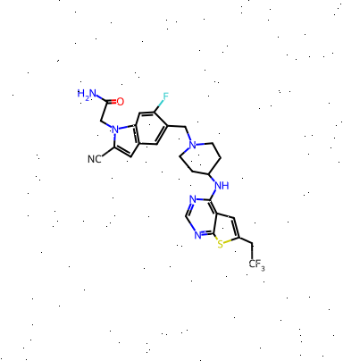 N#Cc1cc2cc(CN3CCC(Nc4ncnc5sc(CC(F)(F)F)cc45)CC3)c(F)cc2n1CC(N)=O